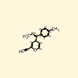 C#CC1=CC(/C(=N\C)c2ccc(C)cc2)C=CO1